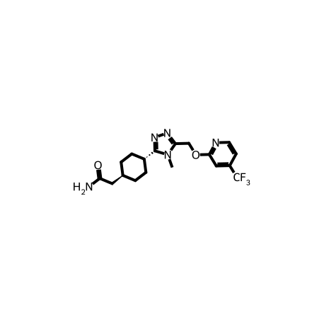 Cn1c(COc2cc(C(F)(F)F)ccn2)nnc1[C@H]1CC[C@H](CC(N)=O)CC1